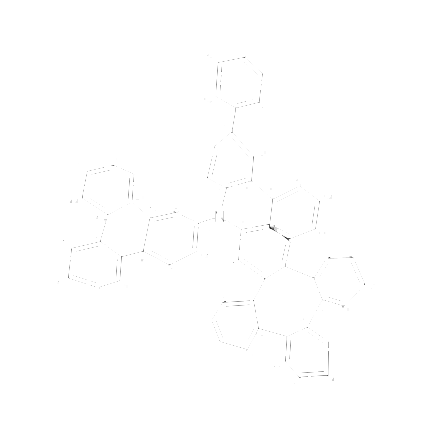 c1ccc(-c2ccc(N(c3ccc4c(c3)-c3ccccc3-c3ccccc3-c3ccccc3-4)c3ccc4c5ccccc5c5ccccc5c4c3)c(-c3ccccc3)c2)cc1